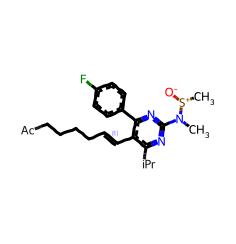 CC(=O)CCCC/C=C/c1c(-c2ccc(F)cc2)nc(N(C)[S+](C)[O-])nc1C(C)C